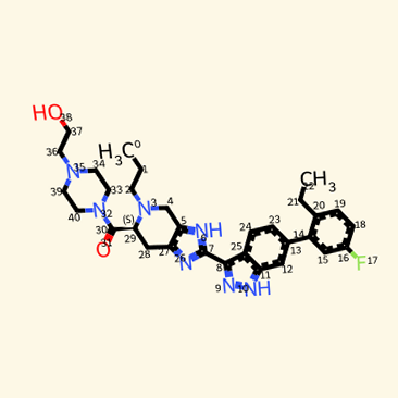 CCCN1Cc2[nH]c(-c3n[nH]c4cc(-c5cc(F)ccc5CC)ccc34)nc2C[C@H]1C(=O)N1CCN(CCO)CC1